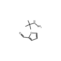 CC(C)(C)NN.O=Cc1ccco1